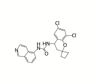 O=C(Nc1cccc2cnccc12)NC1CC2(CCC2)Oc2c(Cl)cc(Cl)cc21